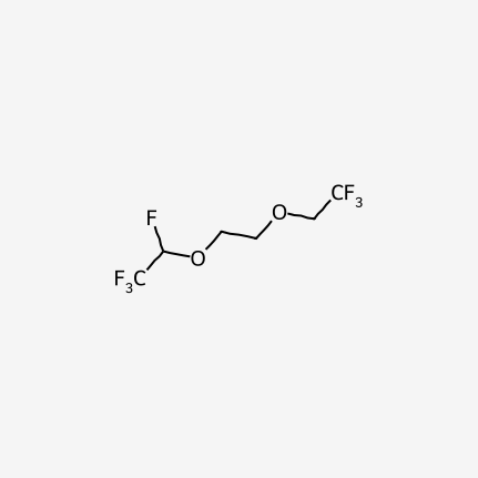 FC(OCCOCC(F)(F)F)C(F)(F)F